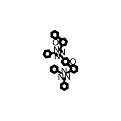 c1ccc(-c2nc(-c3ccc4c(c3)oc3cccc(-c5nc(-c6ccccc6)nc(-c6ccccc6)n5)c34)nc(-c3cccc4c3oc3ccccc34)n2)cc1